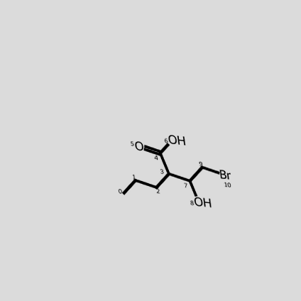 CCCC(C(=O)O)C(O)CBr